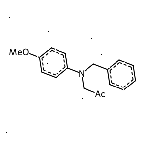 COc1ccc(N(CC(C)=O)Cc2ccccc2)cc1